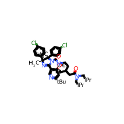 CCOc1cc(C(C)(C)C)ncc1C1=N[C@@](C)(c2ccc(Cl)cc2)[C@@](C)(c2ccc(Cl)cc2)N1C(=O)N1CCC(CC(=O)N(CC(C)C)CC(C)C)CC1